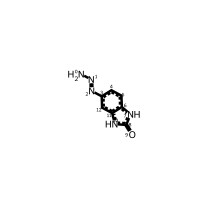 NN=Nc1ccc2[nH]c(=O)[nH]c2c1